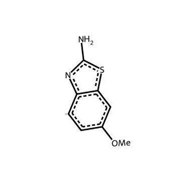 COc1c[c]c2nc(N)sc2c1